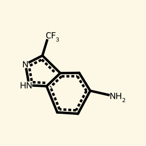 Nc1ccc2[nH]nc(C(F)(F)F)c2c1